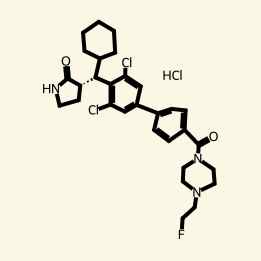 Cl.O=C1NCC[C@H]1C(c1c(Cl)cc(-c2ccc(C(=O)N3CCN(CCF)CC3)cc2)cc1Cl)C1CCCCC1